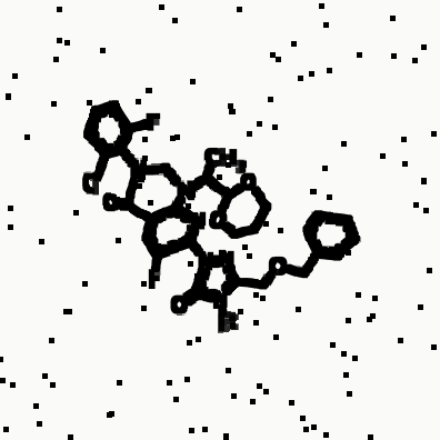 CCn1c(COCc2ccccc2)nn(-c2nc3c(cc2F)C(=O)N(c2c(F)cccc2Cl)CN3C(C)C2OCCCO2)c1=O